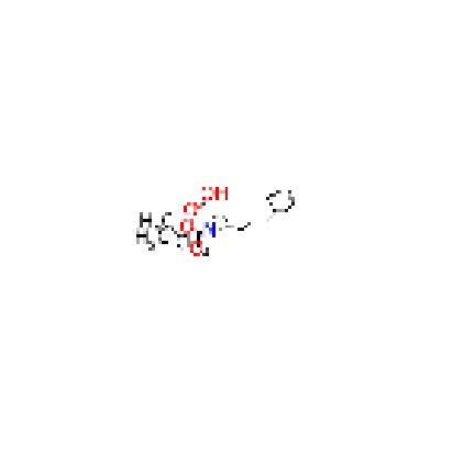 CC(C)(C)OC(=O)N1C[C@H](CCCc2ccccc2)C[C@H]1C(=O)O